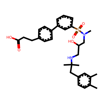 Cc1ccc(CC(C)(C)NCC(O)CN(C)S(=O)(=O)c2cccc(-c3ccc(CCC(=O)O)cc3)c2)cc1C